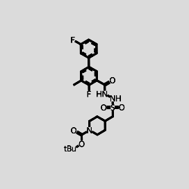 Cc1cc(-c2cccc(F)c2)cc(C(=O)NNS(=O)(=O)CC2CCN(C(=O)OC(C)(C)C)CC2)c1F